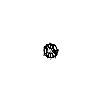 [CH]12[CH]3[CH]4[CH]5[CH]1[Os]23451678[CH]2[CH]1[CH]6[CH]7[CH]28